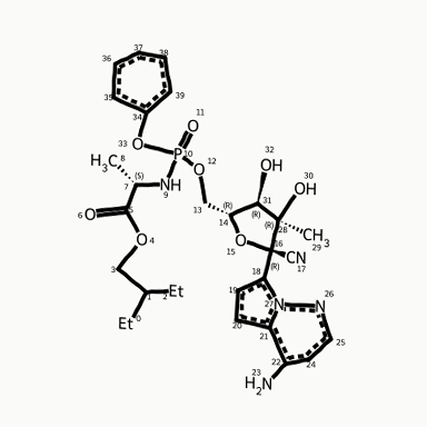 CCC(CC)COC(=O)[C@H](C)NP(=O)(OC[C@H]1O[C@@](C#N)(c2ccc3c(N)ccnn23)[C@](C)(O)[C@@H]1O)Oc1ccccc1